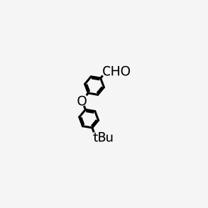 CC(C)(C)c1ccc(Oc2ccc(C=O)cc2)cc1